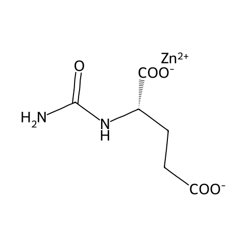 NC(=O)N[C@@H](CCC(=O)[O-])C(=O)[O-].[Zn+2]